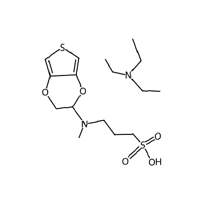 CCN(CC)CC.CN(CCCS(=O)(=O)O)C1COc2cscc2O1